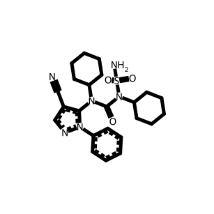 N#Cc1cnn(-c2ccccc2)c1N(C(=O)N(C1CCCCC1)S(N)(=O)=O)C1CCCCC1